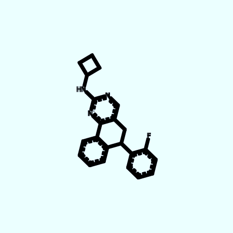 Fc1ccccc1C1Cc2cnc(NC3CCC3)nc2-c2ccccc21